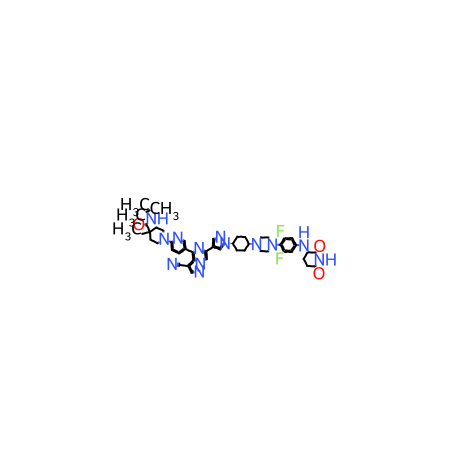 CCC1(C(=O)NC(C)(C)C)CCN(c2ccc(-c3nc(-c4cnn([C@H]5CC[C@H](N6CCN(c7c(F)cc(NC8CCC(=O)NC8=O)cc7F)CC6)CC5)c4)cn4ncc(C#N)c34)cn2)CC1